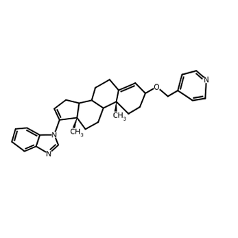 C[C@]12CCC(OCc3ccncc3)C=C1CCC1C2CC[C@]2(C)C(n3cnc4ccccc43)=CCC12